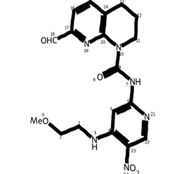 COCCNc1cc(NC(=O)N2CCCc3ccc(C=O)nc32)ncc1[N+](=O)[O-]